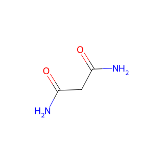 NC(=O)CC(N)=O